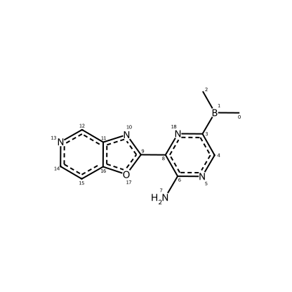 CB(C)c1cnc(N)c(-c2nc3cnccc3o2)n1